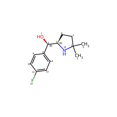 CC1(C)CC[C@H]([C@H](O)c2ccc(F)cc2)N1